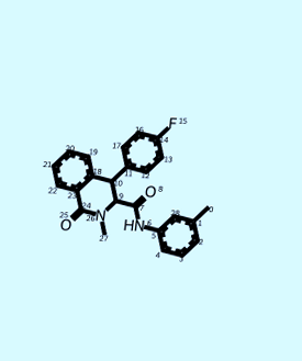 Cc1cccc(NC(=O)C2C(c3ccc(F)cc3)c3ccccc3C(=O)N2C)c1